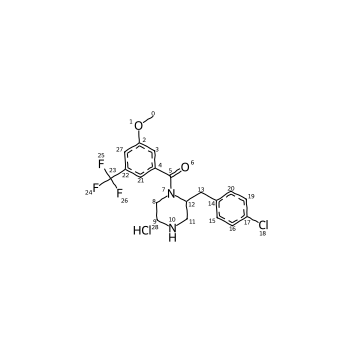 COc1cc(C(=O)N2CCNCC2Cc2ccc(Cl)cc2)cc(C(F)(F)F)c1.Cl